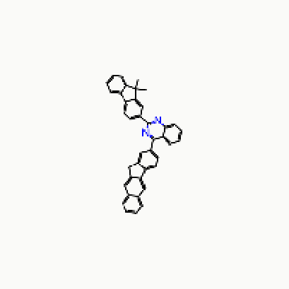 CC1(C)c2ccccc2-c2ccc(-c3nc(-c4ccc5c(c4)Cc4cc6ccccc6cc4-5)c4ccccc4n3)cc21